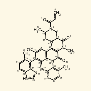 C=CC(=O)N1CC2C(=O)N(C)c3c(c4cc(Cl)c(-c5c(C)ccc6[nH]cnc56)c(F)c4n(-c4c(C)ccnc4C(C)C)c3=O)N2CC1C